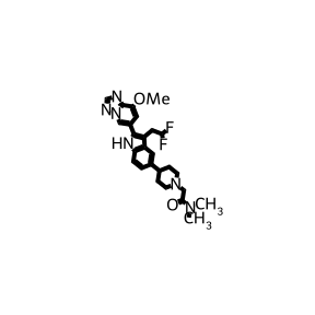 COc1cc(-c2[nH]c3ccc(C4CCN(CC(=O)N(C)C)CC4)cc3c2CC(F)F)cn2ncnc12